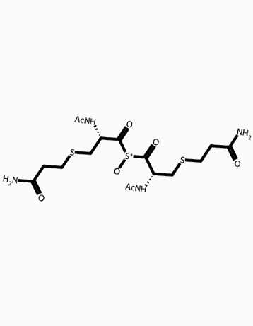 CC(=O)N[C@@H](CSCCC(N)=O)C(=O)[S+]([O-])C(=O)[C@H](CSCCC(N)=O)NC(C)=O